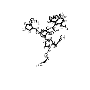 C#CCOCN1CCN(c2nc(OCC3CCCN3C)nc3c2OCC(c2c(C)ccc4[nH]ncc24)O3)CC1CC#C